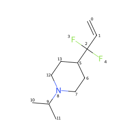 C=CC(F)(F)C1CCN(C(C)C)CC1